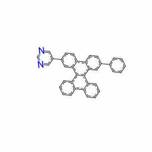 c1ccc(-c2ccc3c4ccc(-c5cncnc5)cc4c4c5ccccc5c5ccccc5c4c3c2)cc1